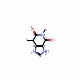 CC1C(=O)N(C)C(=O)c2[nH]cnc21